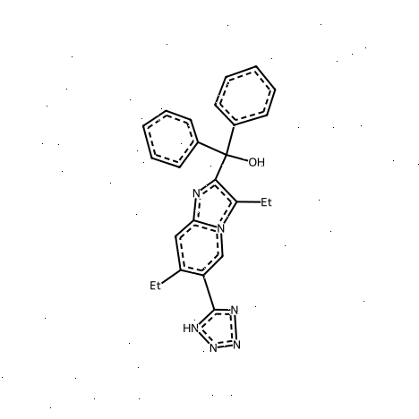 CCc1cc2nc(C(O)(c3ccccc3)c3ccccc3)c(CC)n2cc1-c1nnn[nH]1